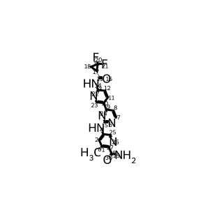 Cc1cc(Nc2nccc(-c3ccc(NC(=O)[C@@H]4CC4(F)F)nc3)n2)cnc1C(N)=O